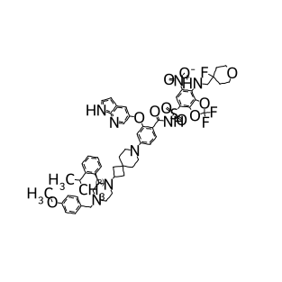 COc1ccc(CN2CCN(C3CC4(CCN(c5ccc(C(=O)NS(=O)(=O)c6cc([N+](=O)[O-])c(NCC7(F)CCOCC7)c7c6OC(F)(F)O7)c(Oc6cnc7[nH]ccc7c6)c5)CC4)C3)[C@H](c3ccccc3C(C)C)C2)cc1